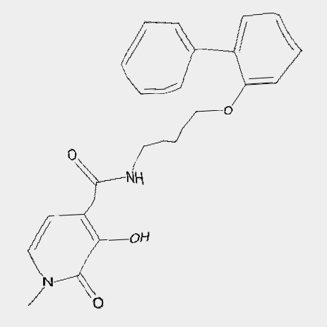 Cn1ccc(C(=O)NCCCOc2ccccc2-c2ccccc2)c(O)c1=O